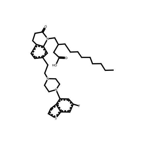 CCCCCCCCCC(CC(=O)O)CN1C(=O)CCc2ccc(CCN3CCN(c4cc(F)cc5sccc45)CC3)cc21